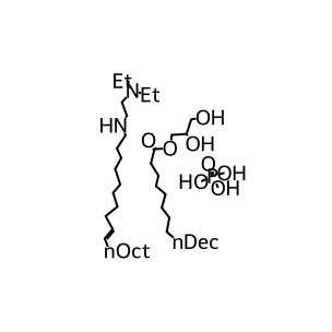 CCCCCCCCC=CCCCCCCCCNCCN(CC)CC.CCCCCCCCCCCCCCCCCC(=O)OCC(O)CO.O=P(O)(O)O